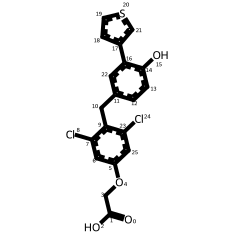 O=C(O)COc1cc(Cl)c(Cc2ccc(O)c(-c3ccsc3)c2)c(Cl)c1